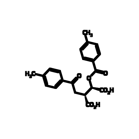 Cc1ccc(C(=O)C[C@@H](C(=O)O)[C@@H](OC(=O)c2ccc(C)cc2)C(=O)O)cc1